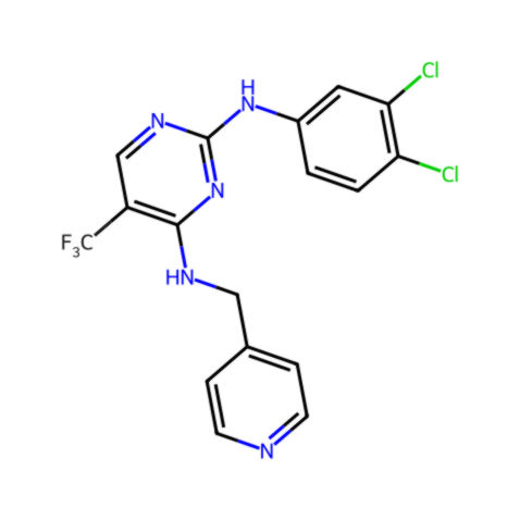 FC(F)(F)c1cnc(Nc2ccc(Cl)c(Cl)c2)nc1NCc1ccncc1